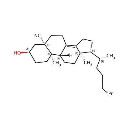 CC(C)CCC[C@@H](C)[C@H]1CCC2=C3CC[C@]4(C#N)C[C@H](O)CC[C@]4(C)[C@H]3CC[C@@]21C